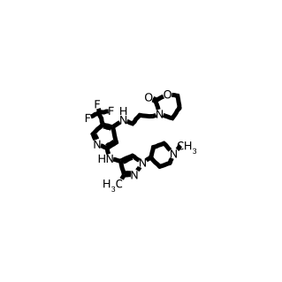 Cc1nn(C2CCN(C)CC2)cc1Nc1cc(NCCCN2CCCOC2=O)c(C(F)(F)F)cn1